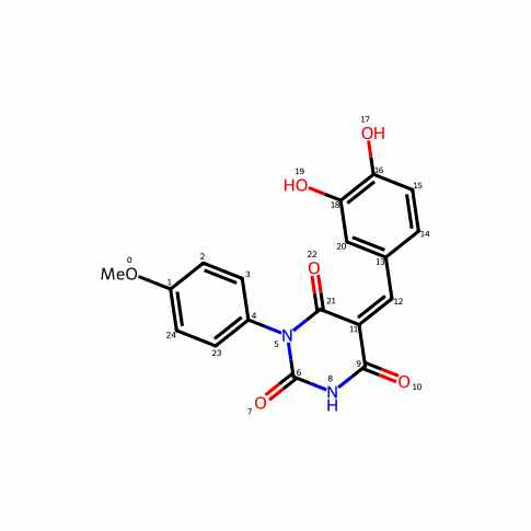 COc1ccc(N2C(=O)NC(=O)C(=Cc3ccc(O)c(O)c3)C2=O)cc1